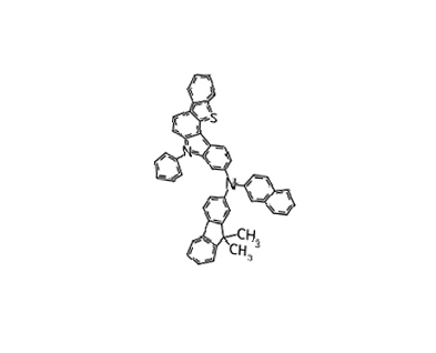 CC1(C)c2ccccc2-c2ccc(N(c3ccc4ccccc4c3)c3ccc4c5c6sc7ccccc7c6ccc5n(-c5ccccc5)c4c3)cc21